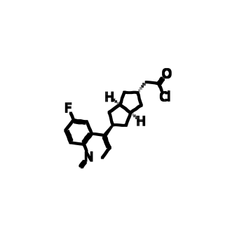 C=Nc1ccc(F)cc1/C(=C\C)[C@H]1C[C@H]2C[C@H](CC(=O)Cl)C[C@H]2C1